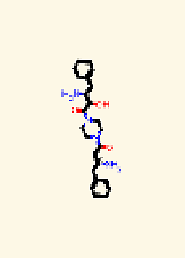 NC(Cc1ccccc1)C(O)C(=O)N1CCN(C(=O)C[C@H](N)Cc2ccccc2)CC1